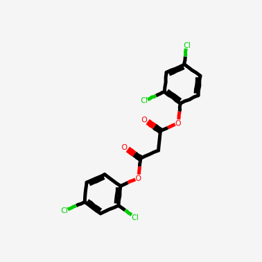 O=C(CC(=O)Oc1ccc(Cl)cc1Cl)Oc1ccc(Cl)cc1Cl